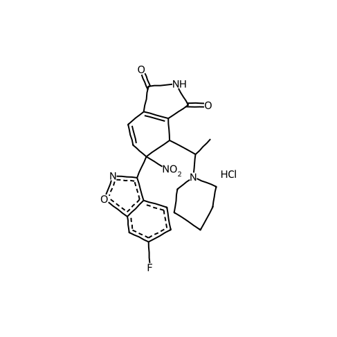 CC(C1C2=C(C=CC1(c1noc3cc(F)ccc13)[N+](=O)[O-])C(=O)NC2=O)N1CCCCC1.Cl